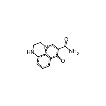 NC(=O)c1cn2c3c(cccc3c1=O)NCC2